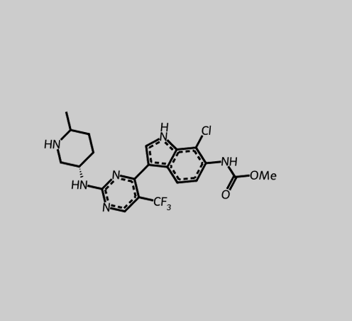 COC(=O)Nc1ccc2c(-c3nc(N[C@H]4CCC(C)NC4)ncc3C(F)(F)F)c[nH]c2c1Cl